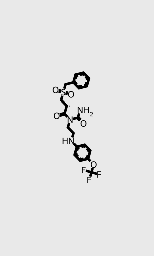 NC(=O)N(CCNc1ccc(OC(F)(F)F)cc1)C(=O)[CH]CS(=O)(=O)Cc1ccccc1